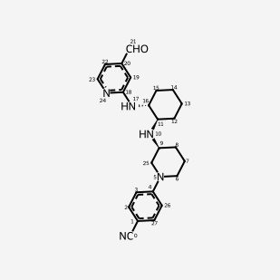 N#Cc1ccc(N2CCC[C@H](N[C@@H]3CCCC[C@H]3Nc3cc(C=O)ccn3)C2)cc1